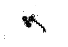 N#CCCCCCCCCCn1nc(-c2c(-c3ccccc3)nn3ccccc23)ccc1=O